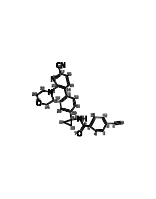 C#Cc1ccc(C(=O)NC2(c3ccc(-c4ccc(C#N)nc4N4CCOCC4)cc3)CC2)cc1